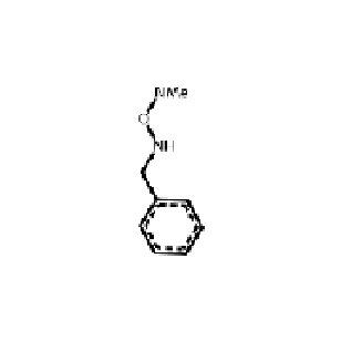 CNONCc1ccccc1